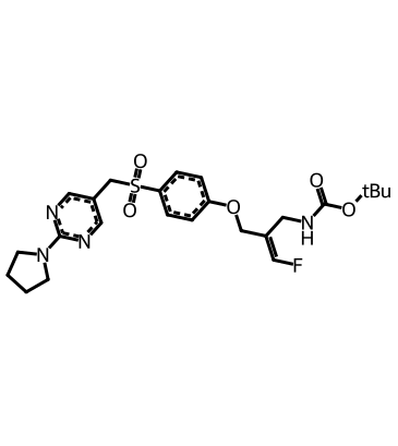 CC(C)(C)OC(=O)NC/C(=C\F)COc1ccc(S(=O)(=O)Cc2cnc(N3CCCC3)nc2)cc1